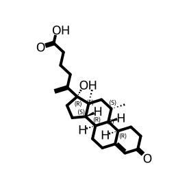 C=C(CCCC(=O)O)[C@]1(O)CC[C@H]2[C@@H]3CCC4=CC(=O)CC[C@@H]4[C@H]3[C@@H](C)C[C@@]21C